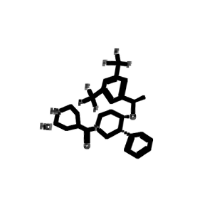 C[C@@H](O[C@H]1CCN(C(=O)C2CCNCC2)C[C@H]1c1ccccc1)c1cc(C(F)(F)F)cc(C(F)(F)F)c1.Cl